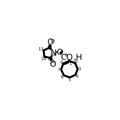 C1=CCCCCCC1.O=C(O)ON1C(=O)CCC1=O